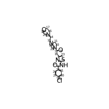 O=C(Nc1nc(CC(=O)N2CCN(CCN3CCOCC3)CC2)cs1)c1ccc(Cl)cc1